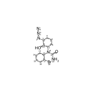 [N-]=[N+]=Nc1cccc(N(C(N)=O)c2ccccc2Br)c1O